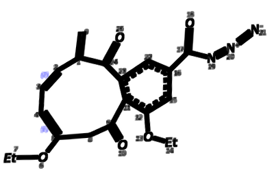 C=C1/C=C\C=C(\OCC)CC(=O)c2c(OCC)cc(C(=O)N=[N+]=[N-])cc2C1=O